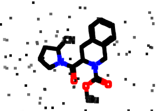 CC(C)(C)OC(=O)N1Cc2ccccc2CC1C(=O)N1CCCC1C#N